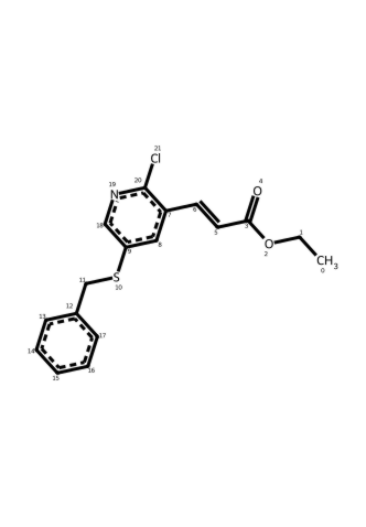 CCOC(=O)/C=C/c1cc(SCc2ccccc2)cnc1Cl